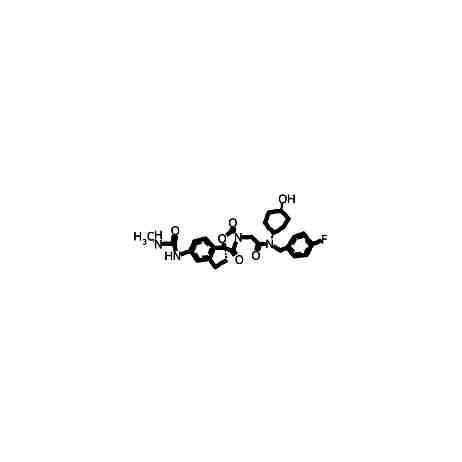 CNC(=O)Nc1ccc2c(c1)CC[C@@]21OC(=O)N(CC(=O)N(Cc2ccc(F)cc2)[C@H]2CC[C@H](O)CC2)C1=O